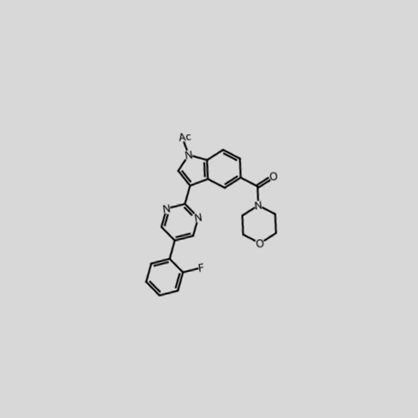 CC(=O)n1cc(-c2ncc(-c3ccccc3F)cn2)c2cc(C(=O)N3CCOCC3)ccc21